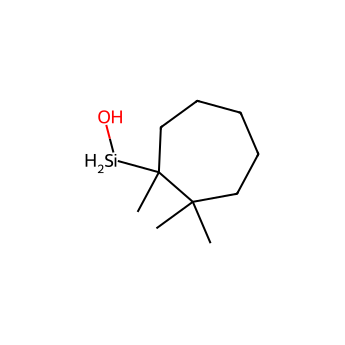 CC1(C)CCCCCC1(C)[SiH2]O